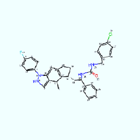 C[C@H]1C2=CNN(c3ccc(F)cc3)C2=CC2=C1[C@@H](CC(NC(=O)NCc1ccc(Cl)cc1)c1ccccc1)CC2